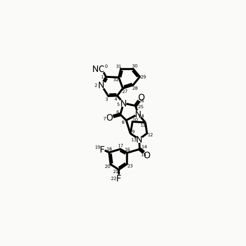 N#Cc1ncc(N2C(=O)C3C4CC(CN4C(=O)c4cc(F)cc(F)c4)N3C2=O)c2ccccc12